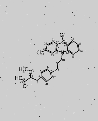 COC(Cc1ccc(CCCN2c3ccccc3[S+]([O-])c3ccc(Cl)cc32)cc1)C(=O)O